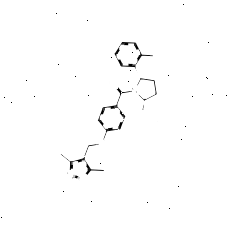 Cc1noc(C)c1COc1ccc(C(=O)N2[C@@H](c3ccccc3Cl)CC[C@H]2C(=O)O)cc1